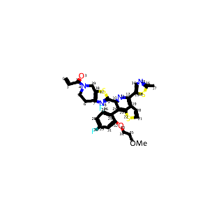 C=CC(=O)N1CCc2nc(-c3nc(-c4cnc(C)s4)c4ccsc4c3-c3c(F)cc(F)cc3OCCOC)sc2C1